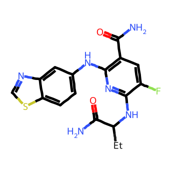 CCC(Nc1nc(Nc2ccc3scnc3c2)c(C(N)=O)cc1F)C(N)=O